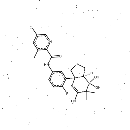 Cc1cc(Cl)cnc1C(=O)Nc1ccc(F)c([C@@]23COC[C@H]2S(O)(O)C(C)(C)C(N)=N3)c1